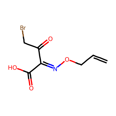 C=CCO/N=C(/C(=O)O)C(=O)CBr